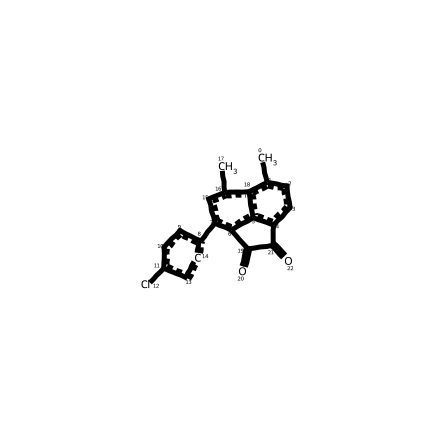 Cc1ccc2c3c(c(-c4ccc(Cl)cc4)cc(C)c13)C(=O)C2=O